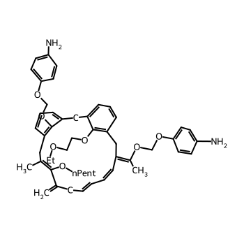 C=C1C/C=C/C=C\C(=C(/C)OCOc2ccc(N)cc2)Cc2cccc(c2OCCOCC)Cc2cccc(c2OCOc2ccc(N)cc2)C/C(C)=C/1OCCCCC